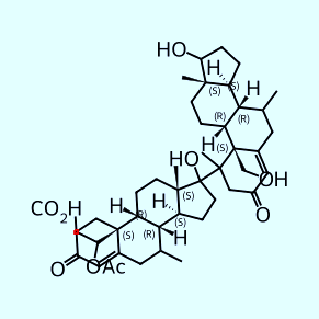 CC(=O)OC(CC(=O)O)[C@]12CCC(=O)C=C1CC(C)[C@@H]1[C@H]2CC[C@@]2(C)[C@H]1CCC2(O)C1(C)CC(=O)C=C2CC(C)[C@@H]3[C@@H](CC[C@]4(C)C(O)CC[C@@H]34)[C@]21CO